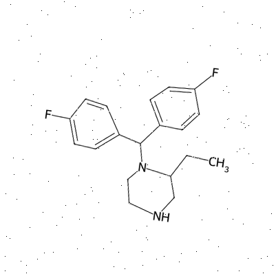 CCC1CNCCN1C(c1ccc(F)cc1)c1ccc(F)cc1